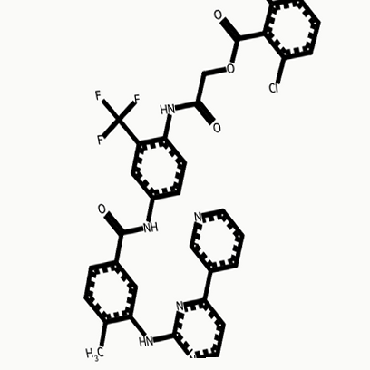 Cc1ccc(C(=O)Nc2ccc(NC(=O)COC(=O)c3c(Cl)cccc3Cl)c(C(F)(F)F)c2)cc1Nc1nccc(-c2cccnc2)n1